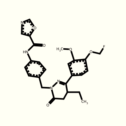 CCC1CC(=O)N(Cc2ccc(NC(=O)c3cnco3)cc2)N=C1c1ccc(OCF)c(OC)c1